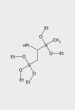 CCCC(C[Si](OCC)(OCC)OCC)[Si](C)(OCC)OCC